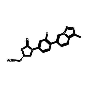 CC(=O)NC[C@H]1CN(c2ccc(-c3ccc4c(C)nnn4c3)c(F)c2)C(=O)O1